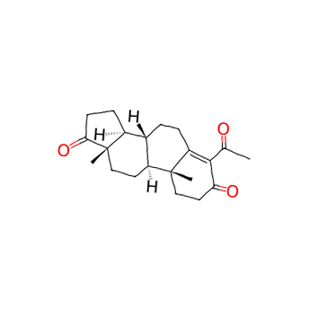 CC(=O)C1=C2CC[C@@H]3[C@H](CC[C@]4(C)C(=O)CC[C@@H]34)[C@@]2(C)CCC1=O